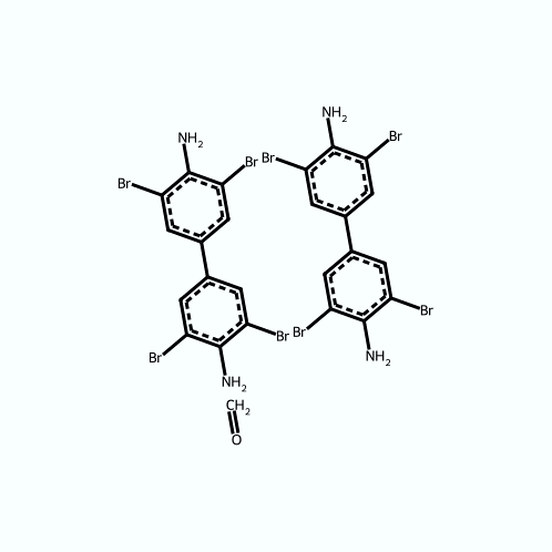 C=O.Nc1c(Br)cc(-c2cc(Br)c(N)c(Br)c2)cc1Br.Nc1c(Br)cc(-c2cc(Br)c(N)c(Br)c2)cc1Br